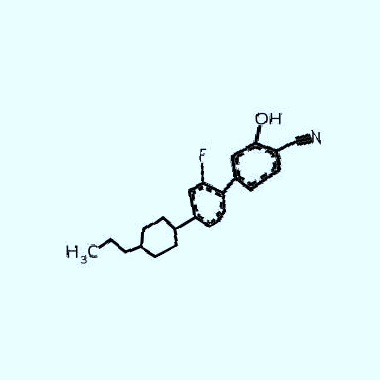 CCCC1CCC(c2ccc(-c3ccc(C#N)c(O)c3)c(F)c2)CC1